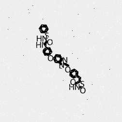 Cn1c(COc2ccc(CC3SC(=O)NC3=O)cc2)nc2ccc(Oc3ccc(NC(=O)NSc4ccccc4)cc3)cc21